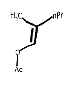 CCCC(C)=COC(C)=O